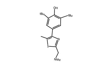 CNCc1nc(-c2cc(C(C)(C)C)c(O)c(C(C)(C)C)c2)c(C)s1